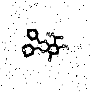 CC(=O)c1c(C)cc(=O)n(OCc2ccccc2)c1OCc1ccccc1